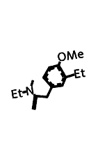 C=C(Cc1ccc(OC)c(CC)c1)N(C)CC